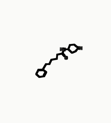 O=C(CCCCCC1=CCCC=C1)NC1CCNCC1